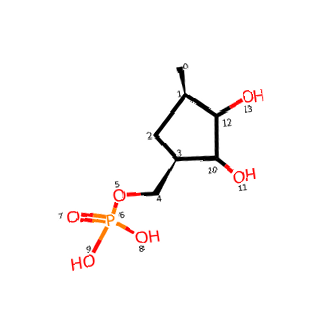 C[C@@H]1C[C@H](COP(=O)(O)O)C(O)C1O